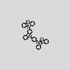 c1ccc2c(c1)Oc1ccccc1N2c1ccc2c(c1)c1ccccc1n2-c1ccc(-n2c3ccccc3c3c4ccccc4oc32)cc1